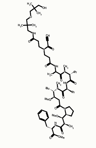 C#CC(=O)N(CCC(=O)NCC(C)(C)COCC(C)(C)CO)CCC(=O)NC(C)C(=O)N(C)[C@@H](C(=O)N[C@H](C(=O)N(C)[C@@H]([C@@H](C)CC)[C@@H](CC(=O)N1CCC[C@H]1[C@H](OC)[C@@H](C)C(=O)N[C@@H](Cc1ccccc1)C(=O)OC)OC)C(C)C)C(C)C